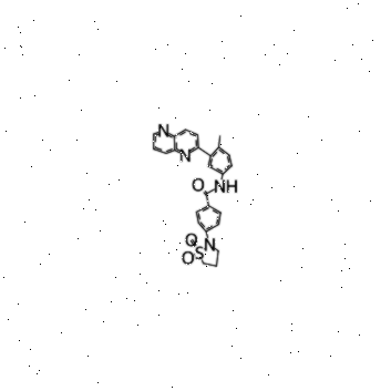 Cc1ccc(NC(=O)c2ccc(N3CCCS3(=O)=O)cc2)cc1-c1ccc2ncccc2n1